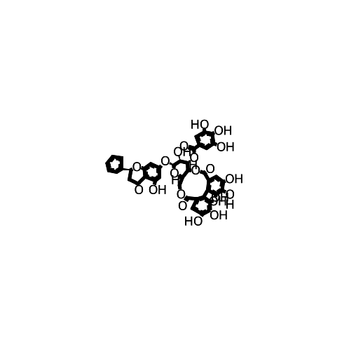 O=C(O[C@@H]1[C@@H](O)[C@H](Oc2cc(O)c3c(c2)O[C@H](c2ccccc2)CC3=O)O[C@@H]2COC(=O)c3cc(O)c(O)c(O)c3-c3c(cc(O)c(O)c3O)C(=O)O[C@@H]12)c1cc(O)c(O)c(O)c1